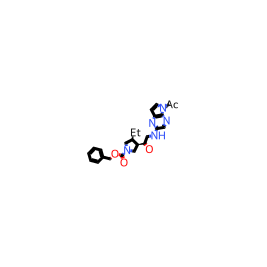 CC[C@@H]1CN(C(=O)OCc2ccccc2)C[C@@H]1C(=O)CNc1cnc2c(ccn2C(C)=O)n1